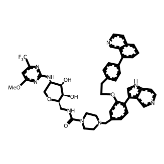 COc1cc(C(F)(F)F)nc(N[C@H]2CO[C@H](CNC(=O)N3CCN(Cc4ccc(-c5c[nH]c6ccncc56)c(OCCc5ccc(-c6cccc7ccncc67)cc5)c4)CC3)[C@H](O)[C@@H]2O)n1